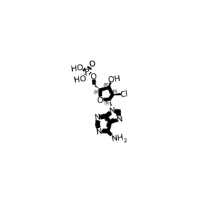 Nc1ncnc2c1ncn2[C@@H]1O[C@H](COP(=O)(O)O)[C@@H](O)[C@H]1Cl